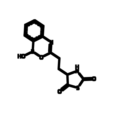 O=C1NC(CCC2=Nc3ccccc3B(O)O2)C(=O)S1